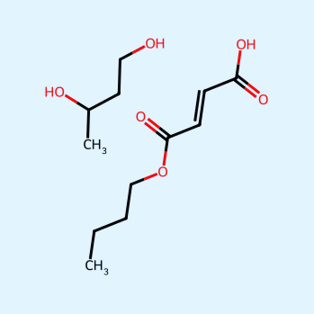 CC(O)CCO.CCCCOC(=O)C=CC(=O)O